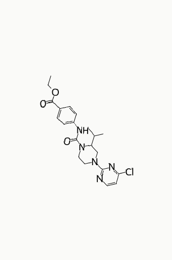 CCOC(=O)c1ccc(NC(=O)N2CCN(c3nccc(Cl)n3)CC2C(C)C)cc1